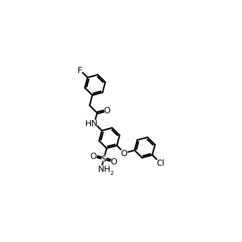 NS(=O)(=O)c1cc(NC(=O)Cc2cccc(F)c2)ccc1Oc1cccc(Cl)c1